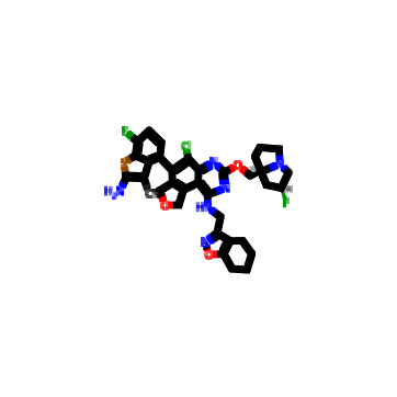 N#Cc1c(N)sc2c(F)ccc(-c3c4c(c5c(NCc6noc7c6CCCC7)nc(OC[C@@]67CCCN6C[C@H](F)C7)nc5c3Cl)COC4)c12